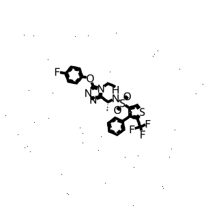 CCn1c(Oc2ccc(F)cc2)nnc1[C@@H](C)NS(=O)(=O)c1csc(C(F)(F)F)c1-c1ccccc1